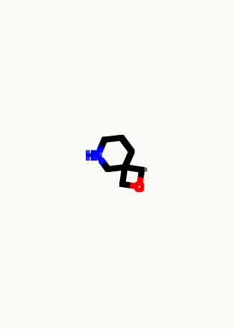 [CH]1OCC12CCCNC2